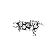 CC1(C)CC[C@]2(OC=O)CC[C@]3(C)C([C@H](O)C[C@@H]4[C@@]5(C)CC[C@H](O)C(C)(C)[C@@H]5CC[C@]43C)[C@H]2C1